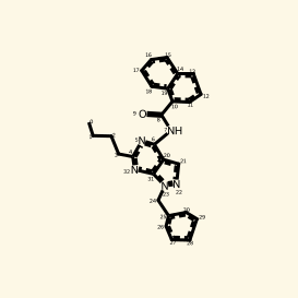 CCCCc1nc(NC(=O)c2cccc3ccccc23)c2cnn(Cc3ccccc3)c2n1